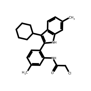 Cc1ccc(-c2[nH]c3cc(C)ccc3c2C2CCCCC2)c(NC(=O)CCl)c1